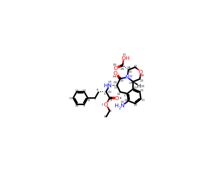 CCOC(=O)[C@H](CCc1ccccc1)N[C@H]1Cc2c(N)cccc2[C@H]2COC[C@@H](C(=O)O)N2C1=O